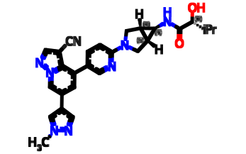 CC(C)[C@@H](O)C(=O)N[C@H]1[C@@H]2CN(c3ccc(-c4cc(-c5cnn(C)c5)cn5ncc(C#N)c45)cn3)C[C@@H]21